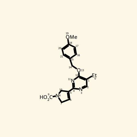 CCc1cnc(C2=CCN(C(=O)O)C2)nc1OCc1ccc(OC)cc1